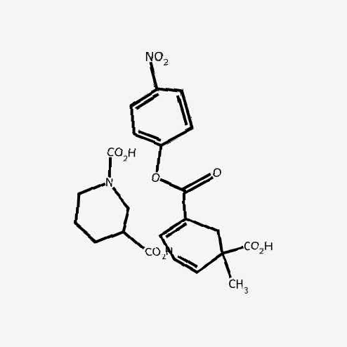 CC1(C(=O)O)C=CC=C(C(=O)Oc2ccc([N+](=O)[O-])cc2)C1.O=C(O)C1CCCN(C(=O)O)C1